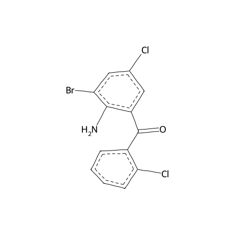 Nc1c(Br)cc(Cl)cc1C(=O)c1ccccc1Cl